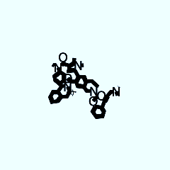 Cc1c(C(=O)N(C)c2ccccc2)cc(-c2cc3c(cc2C(=O)N2Cc4ccccc4C[C@H]2C)CN(C(=O)Oc2ccccc2C#CCN(C)C)CC3)n1C